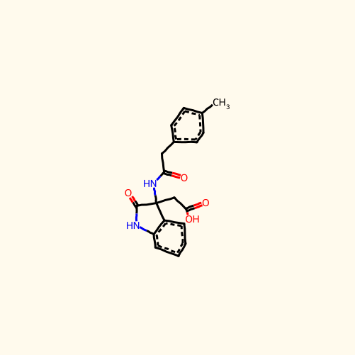 Cc1ccc(CC(=O)NC2(CC(=O)O)C(=O)Nc3ccccc32)cc1